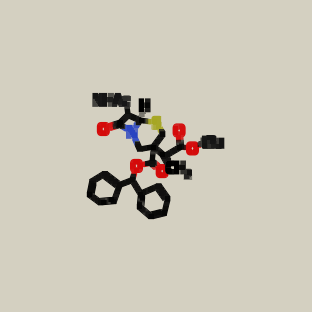 C=C(C(=O)OC(C)(C)C)C1(C(=O)OC(c2ccccc2)c2ccccc2)CS[C@@H]2C(NC(C)=O)C(=O)N2C1